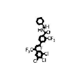 O=C(NNC1CCCCC1)c1ccc(C(F)=CC(c2cc(Cl)c(Cl)c(Cl)c2)C(F)(F)F)cc1C(F)(F)F